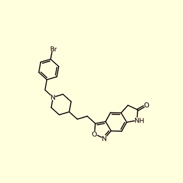 O=C1Cc2cc3c(CCC4CCN(Cc5ccc(Br)cc5)CC4)onc3cc2N1